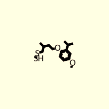 COc1ccc(OCCC(C)CSS)c(C(C)C)c1